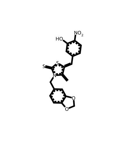 C=c1c(=Cc2ccc([N+](=O)[O-])c(O)c2)sc(=S)n1Cc1ccc2c(c1)OCO2